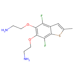 Cc1cc2c(F)c(OCCN)c(OCCN)c(F)c2s1